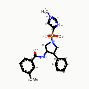 COc1cccc(C(=O)NC2CN(S(=O)(=O)c3cn(C)cn3)CC2c2ccccc2)c1